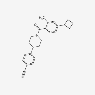 Cc1cc(C2CCC2)[c]cc1C(=O)N1CCC(c2ccc(C#N)cc2)CC1